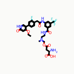 CCOc1cc(=O)[nH]cc1-c1ccc(CC(=O)Nc2cc(C(=O)NCCN(C)COC(=O)C[C@H](N)C(=O)O)cc(C(F)(F)F)c2)c(F)c1